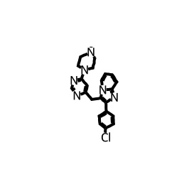 CN1CCN(c2cc(Cc3c(-c4ccc(Cl)cc4)nc4ccccn34)ncn2)CC1